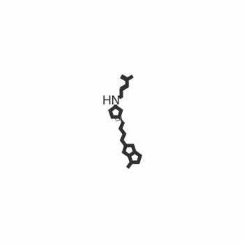 C=C(C)C=CCNC1CC[C@H](CCCCC2CC3CCC(C)C3C2)C1